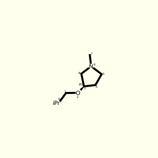 CC(C)CO[C@@H]1CCN(C)C1